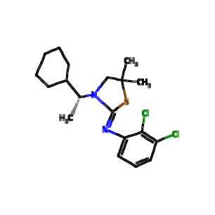 C[C@H](C1CCCCC1)N1CC(C)(C)SC1=Nc1cccc(Cl)c1Cl